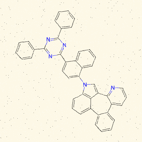 c1ccc(-c2nc(-c3ccccc3)nc(-c3ccc(-n4cc5c6c(cccc64)-c4ccccc4-c4cccnc4-5)c4ccccc34)n2)cc1